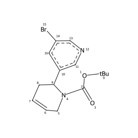 CC(C)(C)OC(=O)N1CC=CCC1c1cncc(Br)c1